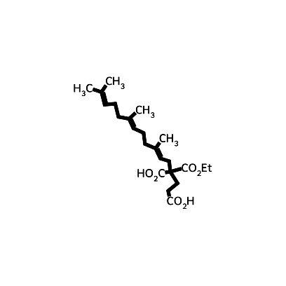 CCOC(=O)C(C/C=C(\C)CC/C=C(\C)CCC=C(C)C)(CCC(=O)O)C(=O)O